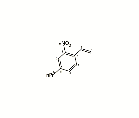 C=Cc1ccc(CCC)cc1[N+](=O)[O-]